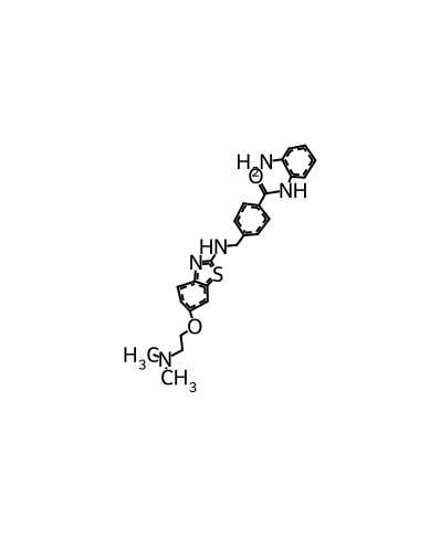 CN(C)CCOc1ccc2nc(NCc3ccc(C(=O)Nc4ccccc4N)cc3)sc2c1